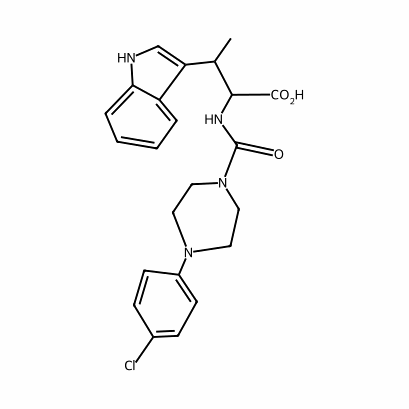 CC(c1c[nH]c2ccccc12)C(NC(=O)N1CCN(c2ccc(Cl)cc2)CC1)C(=O)O